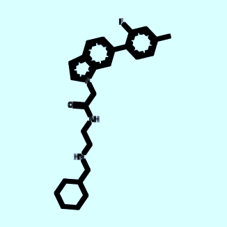 Cc1ccc(-c2ccc3ccn(CC(=O)NCCNCC4CCCCC4)c3c2)c(F)c1